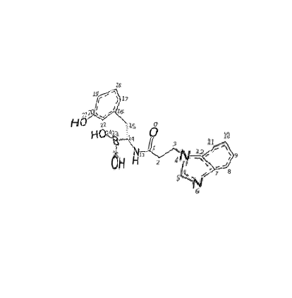 O=C(CCn1cnc2ccccc21)N[C@@H](Cc1cccc(O)c1)B(O)O